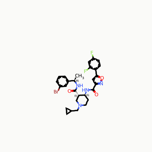 C[C@@H](NC(=O)[C@H]1CN(CC2CC2)CC[C@@H]1NC(=O)c1cc(-c2ccc(F)cc2F)on1)c1cccc(Br)c1